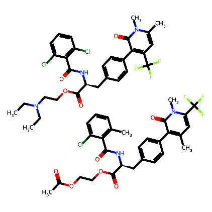 CC(=O)OCCOC(=O)[C@H](Cc1ccc(-c2c(C)cc(C(F)(F)F)n(C)c2=O)cc1)NC(=O)c1c(C)cccc1Cl.CCN(CC)CCOC(=O)[C@H](Cc1ccc(-c2c(C(F)(F)F)cc(C)n(C)c2=O)cc1)NC(=O)c1c(Cl)cccc1Cl